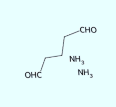 N.N.O=CCCCC=O